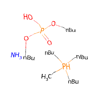 CCCCOP(=O)(O)OCCCC.CCCC[PH](C)(CCCC)CCCC.N